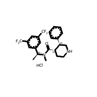 C[C@@H](c1cc(C(F)(F)F)cc(C(F)(F)F)c1)N(C)C(=O)[C@H]1CCNC[C@H]1c1ccccc1.Cl